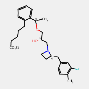 CCOC(=O)CCCCc1ccccc1[C@@H](C)OC[C@@H](O)CN1CC[C@H]1Cc1ccc(C)c(F)c1